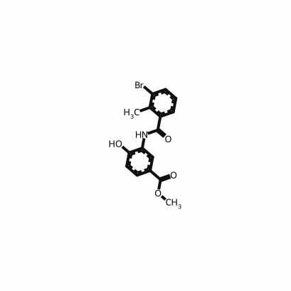 COC(=O)c1ccc(O)c(NC(=O)c2cccc(Br)c2C)c1